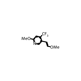 COC=Cc1cnc(OC)cc1C(F)(F)F